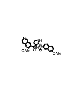 COc1ccc2ccc(S(=O)(=O)N[C@@]3(C(Cl)c4cc5cnccc5cc4OC)CCNC3=O)cc2c1